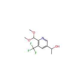 COC(OC)c1ncc(C(C)O)cc1C(F)(F)F